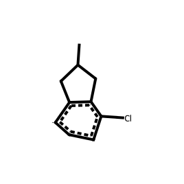 CC1Cc2[c]ccc(Cl)c2C1